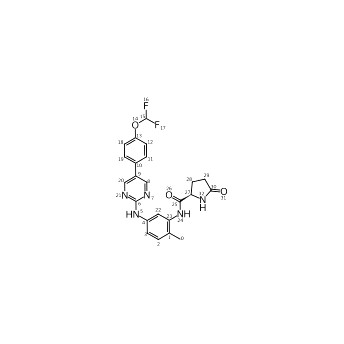 Cc1ccc(Nc2ncc(-c3ccc(OC(F)F)cc3)cn2)cc1NC(=O)[C@H]1CCC(=O)N1